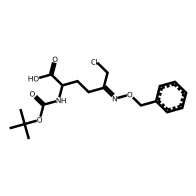 CC(C)(C)OC(=O)NC(CCC(CCl)=NOCc1ccccc1)C(=O)O